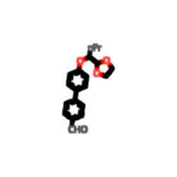 CCCC(Oc1ccc(-c2ccc(C=O)cc2)cc1)C1OCCO1